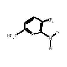 CCN(CC)c1nc(C(=O)O)ccc1C(F)(F)F